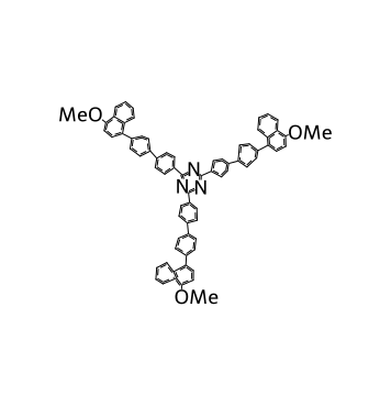 COc1ccc(-c2ccc(-c3ccc(-c4nc(-c5ccc(-c6ccc(-c7ccc(OC)c8ccccc78)cc6)cc5)nc(-c5ccc(-c6ccc(-c7ccc(OC)c8ccccc78)cc6)cc5)n4)cc3)cc2)c2ccccc12